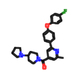 Cc1cc(C(=O)N2CCC(N3CCCC3)CC2)cc(-c2ccc(Oc3ccc(F)cc3)cc2)n1